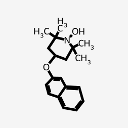 CC1(C)CC(Oc2ccc3ccccc3c2)CC(C)(C)N1O